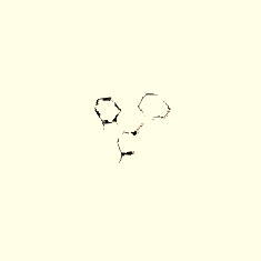 C[C@@H](C(=O)O)N(C(=O)N1CCOCC1)c1ccccc1Cl